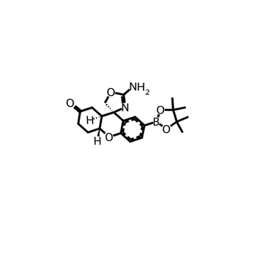 CC1(C)OB(c2ccc3c(c2)[C@@]2(COC(N)=N2)[C@@H]2CC(=O)CC[C@H]2O3)OC1(C)C